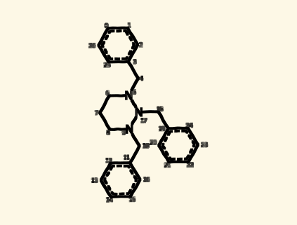 c1ccc(CN2CCCN(Cc3ccccc3)N2Cc2ccccc2)cc1